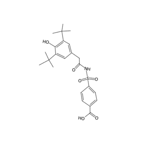 CC(C)(C)c1cc(CC(=O)NS(=O)(=O)c2ccc(C(=O)O)cc2)cc(C(C)(C)C)c1O